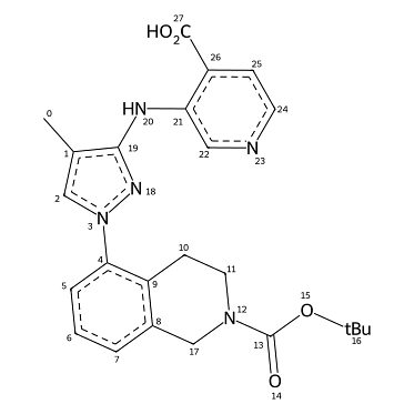 Cc1cn(-c2cccc3c2CCN(C(=O)OC(C)(C)C)C3)nc1Nc1cnccc1C(=O)O